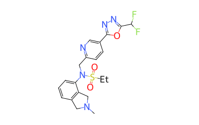 CCS(=O)(=O)N(Cc1ccc(-c2nnc(C(F)F)o2)cn1)c1cccc2c1CN(C)C2